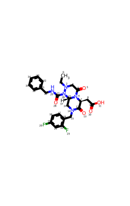 CCN1CC(=O)N2[C@@H](CC(=O)O)C(=O)N(Cc3ccc(F)cc3F)C[C@@H]2N1C(=O)NCc1ccccc1